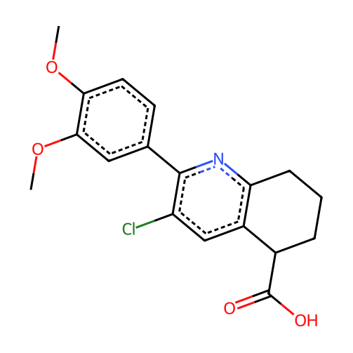 COc1ccc(-c2nc3c(cc2Cl)C(C(=O)O)CCC3)cc1OC